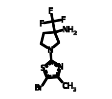 Cc1nc(N2CCC(N)(C(F)(F)F)C2)sc1Br